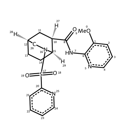 COc1cccnc1NC(=O)[C@@H]1C[C@@H]2CC[C@H]1N(S(=O)(=O)c1ccccn1)C2